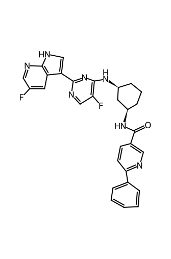 O=C(N[C@@H]1CCC[C@H](Nc2nc(-c3c[nH]c4ncc(F)cc34)ncc2F)C1)c1ccc(-c2ccccc2)nc1